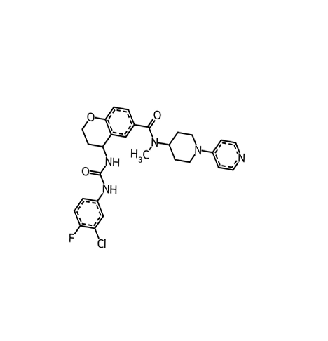 CN(C(=O)c1ccc2c(c1)C(NC(=O)Nc1ccc(F)c(Cl)c1)CCO2)C1CCN(c2ccncc2)CC1